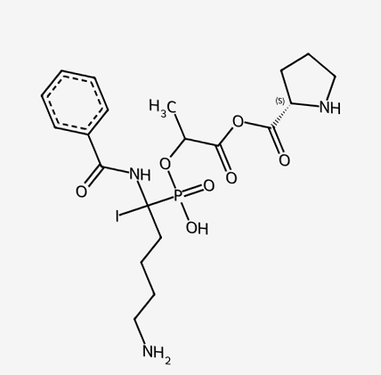 CC(OP(=O)(O)C(I)(CCCCN)NC(=O)c1ccccc1)C(=O)OC(=O)[C@@H]1CCCN1